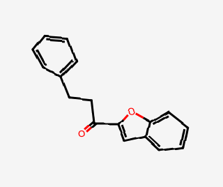 O=C(CCc1ccccc1)c1cc2ccccc2o1